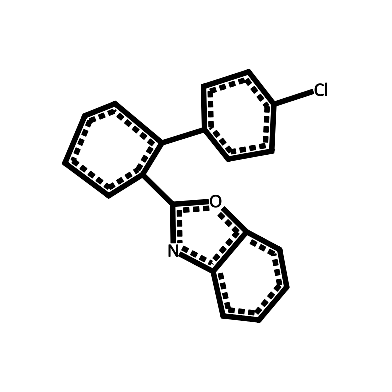 Clc1ccc(-c2ccccc2-c2nc3ccccc3o2)cc1